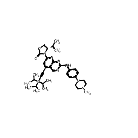 CC(C)[C@H]1COC(=O)N1c1cc(C#C[Si](C(C)C)(C(C)C)C(C)C)c2cnc(Nc3ccc(N4CCN(C)CC4)cc3)nc2n1